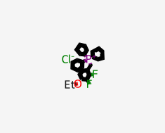 CCOc1ccc(C[P+](c2ccccc2)(c2ccccc2)c2ccccc2)c(F)c1F.[Cl-]